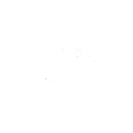 CCC(C(=O)O)n1nnc(-c2cc(OC3CCC(Oc4cc(C(F)(F)F)ccc4Br)CC3)no2)n1